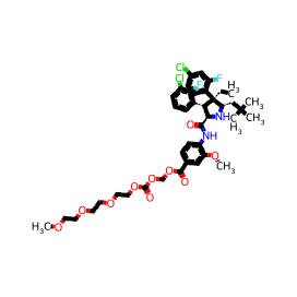 CC[C@]1(c2ccc(Cl)cc2F)[C@H](CC(C)(C)C)N[C@@H](C(=O)Nc2ccc(C(=O)OCOC(=O)OCCOCCOCCOC)cc2OC)[C@@H]1c1cccc(Cl)c1F